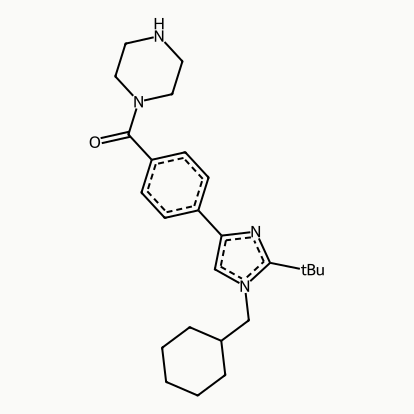 CC(C)(C)c1nc(-c2ccc(C(=O)N3CCNCC3)cc2)cn1CC1CCCCC1